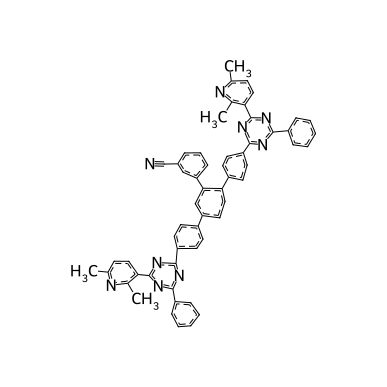 Cc1ccc(-c2nc(-c3ccccc3)nc(-c3ccc(-c4ccc(-c5ccc(-c6nc(-c7ccccc7)nc(-c7ccc(C)nc7C)n6)cc5)c(-c5cccc(C#N)c5)c4)cc3)n2)c(C)n1